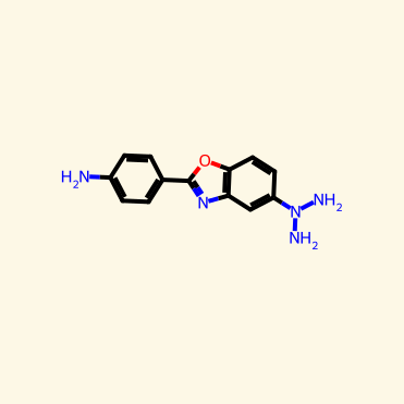 Nc1ccc(-c2nc3cc(N(N)N)ccc3o2)cc1